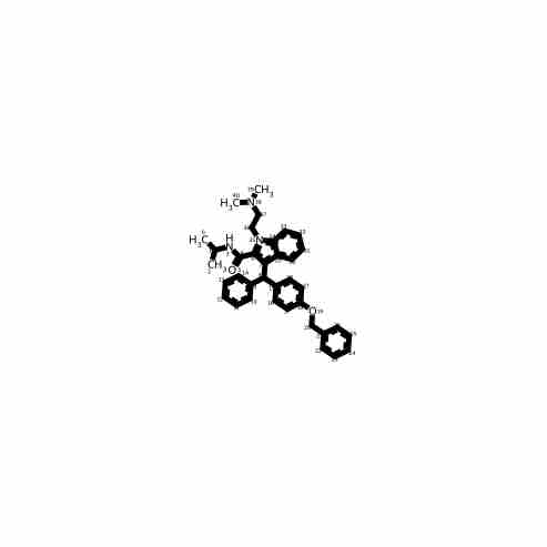 CC(C)NC(=O)c1c(C(c2ccccc2)c2ccc(OCc3ccccc3)cc2)c2ccccc2n1CCN(C)C